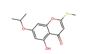 CSc1cc(=O)c2c(O)cc(OC(C)C)cc2o1